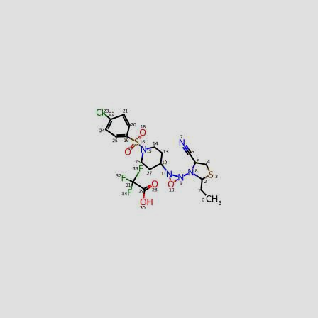 CCC1SCC(C#N)N1n1on1C1CCN(S(=O)(=O)c2ccc(Cl)cc2)CC1.O=C(O)C(F)(F)F